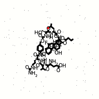 CCCC1O[C@@H]2C[C@H]3[C@@H]4C[C@H](F)C5=CC(O)C=C[C@]5(C)[C@@]4(F)[C@@H](O)C[C@]3(C)[C@]2(C(=O)COC(=O)[C@H](CC(C)C)NC(=O)[C@H](CO)NC(=O)OCc2ccc(NC(=O)[C@H](CCCNC(N)=O)NC(=O)[C@@H](NC(=O)[C@H](N)CCC(=O)O)C(C)C)cc2)O1